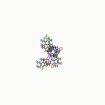 [2H]c1c([2H])c(F)c(F)c(C([2H])([2H])Sc2c([2H])c(=O)c3c([2H])c([2H])c([2H])c([2H])c3n2CC(=O)N(Cc2c([2H])c([2H])c(-c3c([2H])c([2H])c(C(F)(F)F)c([2H])c3[2H])c([2H])c2C)C2C([2H])([2H])C([2H])([2H])N(C([2H])([2H])COC)C([2H])([2H])C2([2H])[2H])c1[2H]